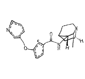 C[C@H]1[C@H](NC(=O)c2ccc(Oc3cccnc3)s2)C2CCN1CC2